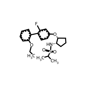 CCOc1ccccc1-c1ccc(O[C@@H]2CCC[C@@H]2NS(=O)(=O)C(C)C)cc1F